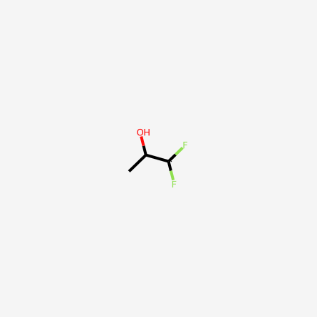 CC(O)[C](F)F